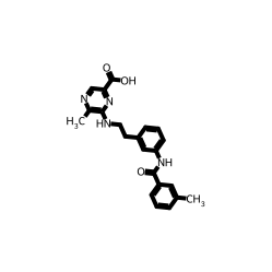 Cc1cccc(C(=O)Nc2cccc(CCNc3nc(C(=O)O)cnc3C)c2)c1